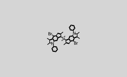 CC1=Cc2c(Br)c3c(cc2=C1[Si](C)(C)C1=c2cc4c(c(Br)c2C=C1C)=C(C)C(C)N4c1ccccc1)N(c1ccccc1)C(C)C=3C